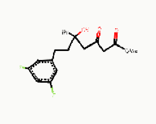 COC(=O)CC(=O)CC(O)(CCc1cc(F)cc(F)c1)C(C)C